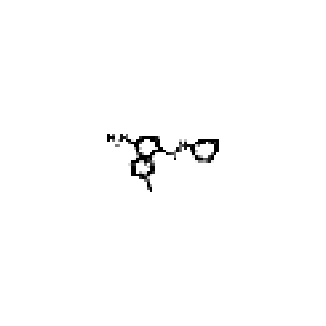 Cc1cc2ccc1c1c(N=Nc3ccccc3)ccc(N)c21